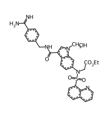 CCOC(=O)CN(c1ccc2c(C(=O)NCc3ccc(C(=N)N)cc3)cn(C)c2c1)S(=O)(=O)c1cccc2cccnc12.Cl